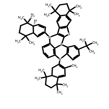 CC1=C(N2c3ccc(C(C)(C)C)cc3B3c4sc5cc6c(cc5c4N(C4=CC5[C@H](C=C4)C(C)(C)CCC5(C)C)c4cccc2c43)C(C)(C)CCC6(C)C)CC2C(=C1)C(C)(C)CCC2(C)C